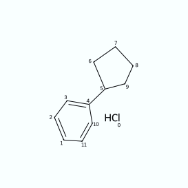 Cl.c1ccc(C2CCCC2)cc1